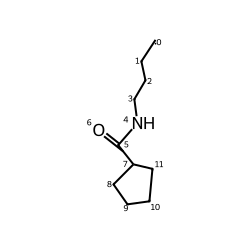 [CH2]CCCNC(=O)C1CCCC1